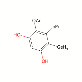 CCCc1[c]([GeH3])c(O)cc(O)c1OC(C)=O